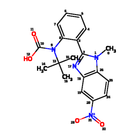 Cn1c(-c2ccccc2N(C(=O)O)C(C)(C)C)nc2cc([N+](=O)[O-])ccc21